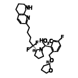 O=C(O)C(c1cc(F)ccc1CO[C@H]1CCCO1)N1CCC[C@@H]1C(F)(F)CCCCc1ccc2c(n1)NCCC2